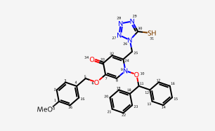 COc1ccc(COc2cn(OC(c3ccccc3)c3ccccc3)c(Cn3nnnc3S)cc2=O)cc1